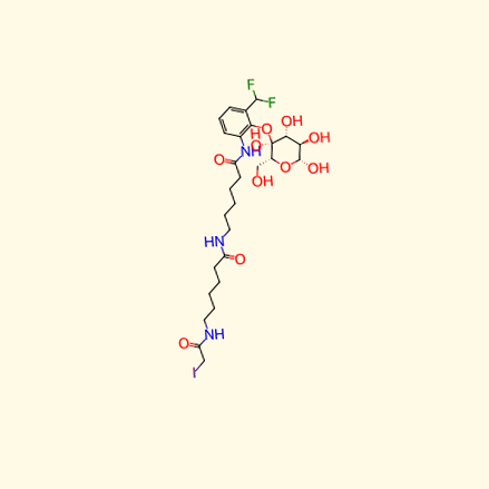 O=C(CI)NCCCCCC(=O)NCCCCCC(=O)Nc1cccc(C(F)F)c1O[C@@]1(O)[C@H](O)[C@@H](O)[C@H](O)O[C@@H]1CO